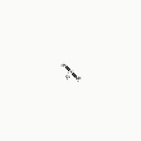 N=[N+]=N.[Os]